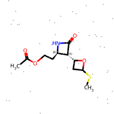 CSC1CC([C@H]2C(=O)N[C@@H]2CCOC(C)=O)O1